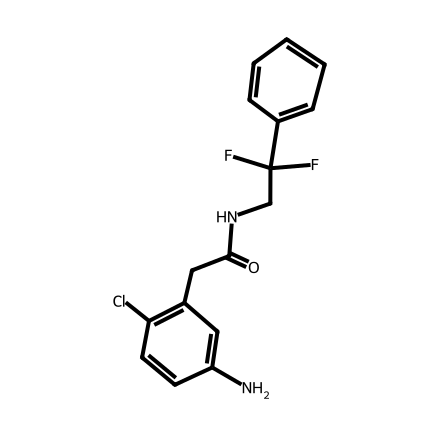 Nc1ccc(Cl)c(CC(=O)NCC(F)(F)c2ccccc2)c1